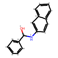 OC(Nc1ccc2ccccc2c1)c1ccccc1